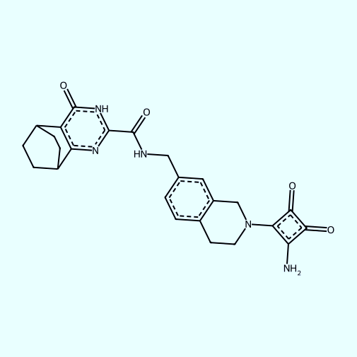 Nc1c(N2CCc3ccc(CNC(=O)c4nc5c(c(=O)[nH]4)C4CCC5CC4)cc3C2)c(=O)c1=O